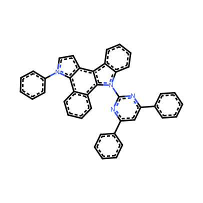 c1ccc(-c2cc(-c3ccccc3)nc(-n3c4ccccc4c4c5ccn(-c6ccccc6)c5c5ccccc5c43)n2)cc1